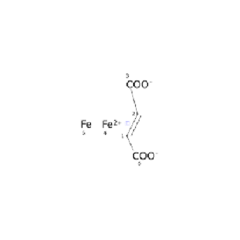 O=C([O-])/C=C/C(=O)[O-].[Fe+2].[Fe]